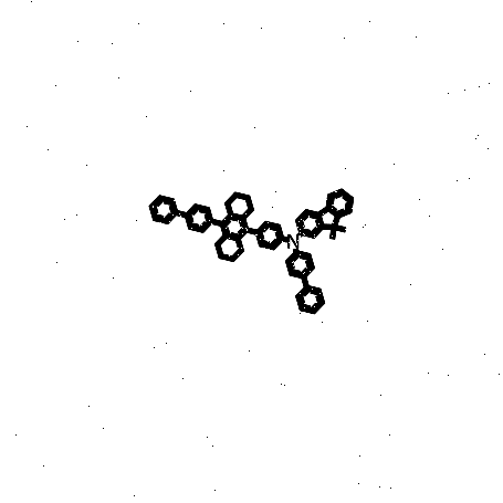 CC1(C)c2ccccc2-c2ccc(N(c3ccc(-c4ccccc4)cc3)c3ccc(-c4c5c(c(-c6ccc(-c7ccccc7)cc6)c6c4CCCC6)CCCC5)cc3)cc21